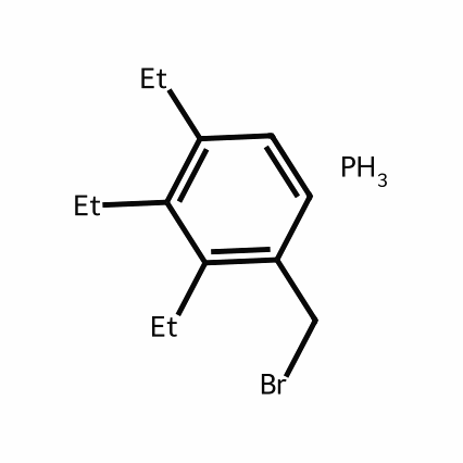 CCc1ccc(CBr)c(CC)c1CC.P